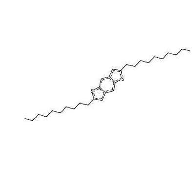 CCCCCCCCCCc1cc2cc3sc(CCCCCCCCCC)cc3cc2s1